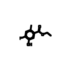 CCOC(=O)c1cc(O)c(F)cc1C